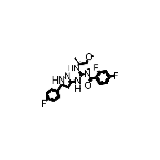 COC[C@H](C)NC(NC1=NNC(c2ccc(F)cc2)C1)N(C)C(=O)c1ccc(F)cc1F